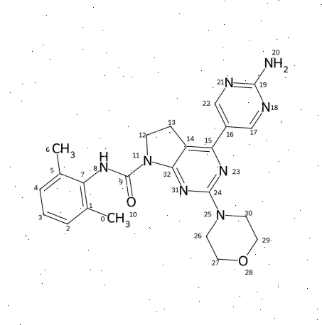 Cc1cccc(C)c1NC(=O)N1CCc2c(-c3cnc(N)nc3)nc(N3CCOCC3)nc21